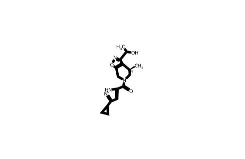 CC(O)c1noc2c1[C@@H](C)CN(C(=O)c1cc(C3CC3)n[nH]1)C2